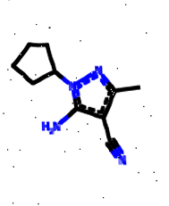 Cc1nn(C2CCCC2)c(N)c1C#N